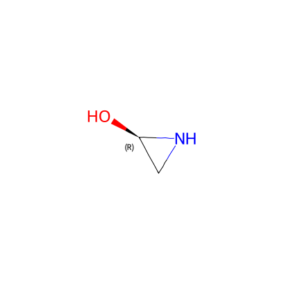 O[C@@H]1CN1